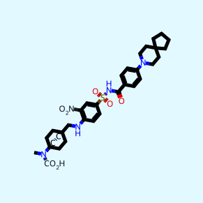 CN(C(=O)O)C12CCC(CNc3ccc(S(=O)(=O)NC(=O)c4ccc(N5CCC6(CCCC6)CC5)cc4)cc3[N+](=O)[O-])(CC1)CC2